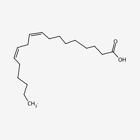 [CH2]CCCC/C=C\C/C=C\CCCCCCCC(=O)O